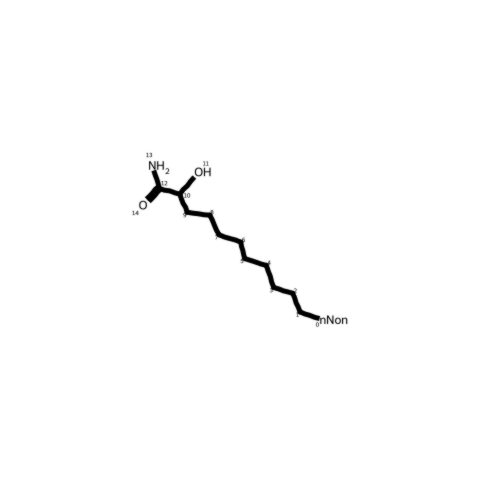 CCCCCCCCCCCCCCCCCCC(O)C(N)=O